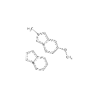 COc1ccn2cc(C)cc2c1.c1ccn2cccc2c1